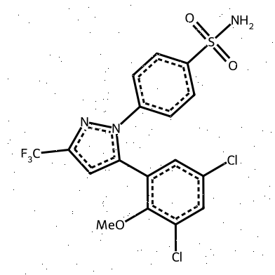 COc1c(Cl)cc(Cl)cc1-c1cc(C(F)(F)F)nn1-c1ccc(S(N)(=O)=O)cc1